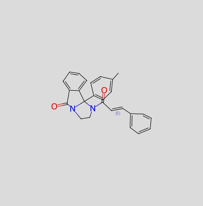 Cc1ccc(C23c4ccccc4C(=O)N2CCN3C(=O)/C=C/c2ccccc2)cc1